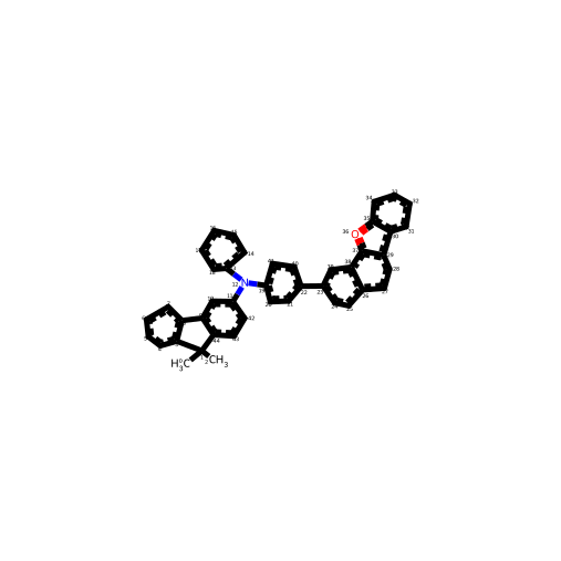 CC1(C)c2ccccc2-c2cc(N(c3ccccc3)c3ccc(-c4ccc5ccc6c7ccccc7oc6c5c4)cc3)ccc21